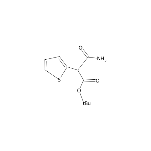 CC(C)(C)OC(=O)C(C(N)=O)c1cccs1